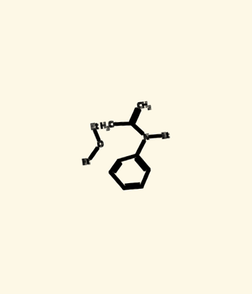 C=C(C)N(CC)c1ccccc1.CCOCC